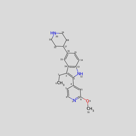 CCc1c(-c2ccnc(OC)c2)[nH]c2ccc(C3CCNCC3)cc12